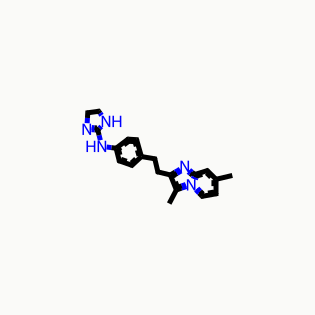 Cc1ccn2c(C)c(CCc3ccc(NC4=NCCN4)cc3)nc2c1